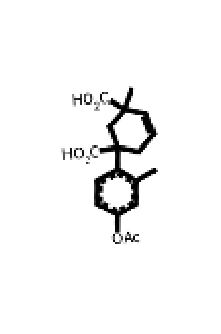 CC(=O)Oc1ccc(C2(C(=O)O)CC=CC(C)(C(=O)O)C2)c(C)c1